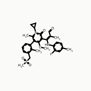 COc1c(-c2cccc(CS(C)(=O)=O)c2C)c(C)n(C2CC2)c(=O)c1/C(Nc1ccc(C)cc1F)=C(/C)C=O